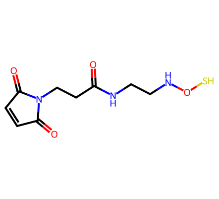 O=C(CCN1C(=O)C=CC1=O)NCCNOS